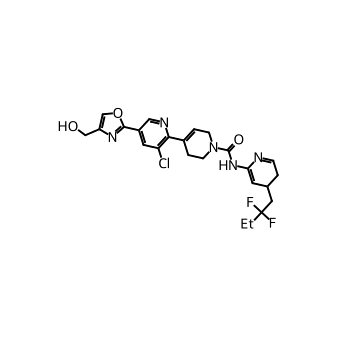 CCC(F)(F)CC1C=C(NC(=O)N2CC=C(c3ncc(-c4nc(CO)co4)cc3Cl)CC2)N=CC1